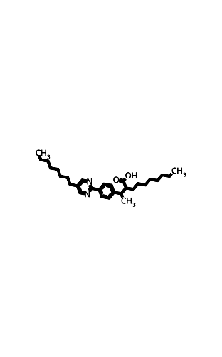 CCCCCCCCc1cnc(-c2ccc(C(C)C(CCCCCCCC)C(=O)O)cc2)nc1